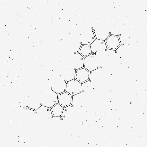 Cc1c(Oc2ccc(F)c(-c3ncc(C(=O)c4ccccc4)[nH]3)c2)c(F)cc2[nH]cc(CC=O)c12